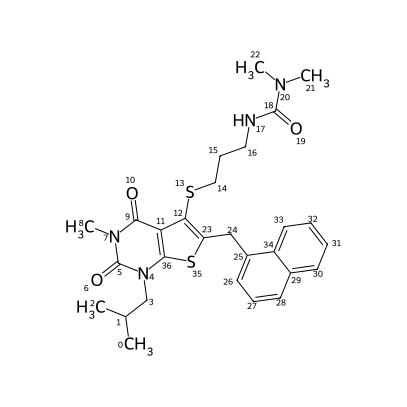 CC(C)Cn1c(=O)n(C)c(=O)c2c(SCCCNC(=O)N(C)C)c(Cc3cccc4ccccc34)sc21